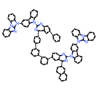 c1ccc(-c2ccc3nc(-n4c5ccccc5c5cc(-n6c7ccccc7n7c8ccccc8nc67)ccc54)nc(-c4ccc(-c5cccc(-c6cccc(-c7ccc8nc(-n9c%10ccccc%10c%10cc(-n%11c%12ccccc%12n%12c%13ccccc%13nc%11%12)ccc%109)nc(-c9ccc%10ccccc%10c9)c8c7)c6)c5)cc4)c3c2)cc1